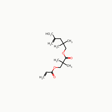 C=CC(=O)OCC(C)(C)C(=O)OCC(C)(C)CC(=C)C(=O)O